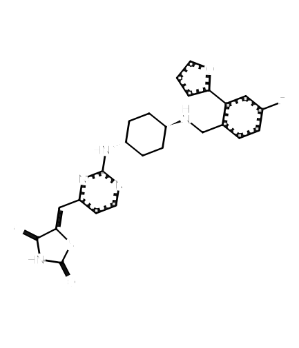 O=C1NC(=O)/C(=C/c2ccnc(N[C@H]3CC[C@H](NCc4ccc(F)cc4-c4ccco4)CC3)n2)S1